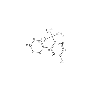 CC(C)(C)c1ncc(Cl)cc1C1=CCOCC1